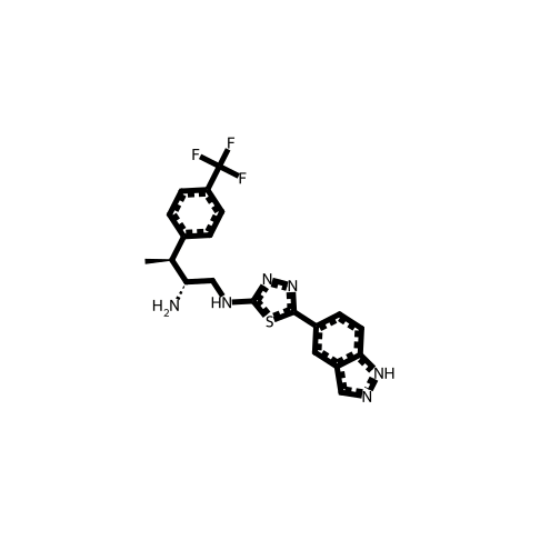 C[C@@H](c1ccc(C(F)(F)F)cc1)[C@@H](N)CNc1nnc(-c2ccc3[nH]ncc3c2)s1